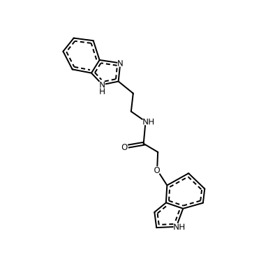 O=C(COc1cccc2[nH]ccc12)NCCc1nc2ccccc2[nH]1